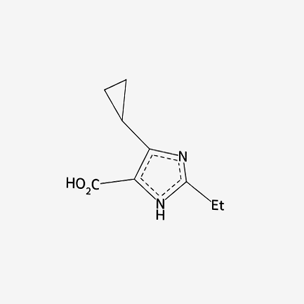 CCc1nc(C2CC2)c(C(=O)O)[nH]1